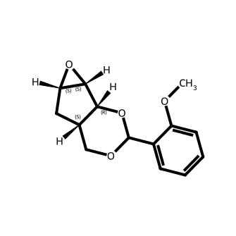 COc1ccccc1C1OC[C@@H]2C[C@@H]3O[C@@H]3[C@@H]2O1